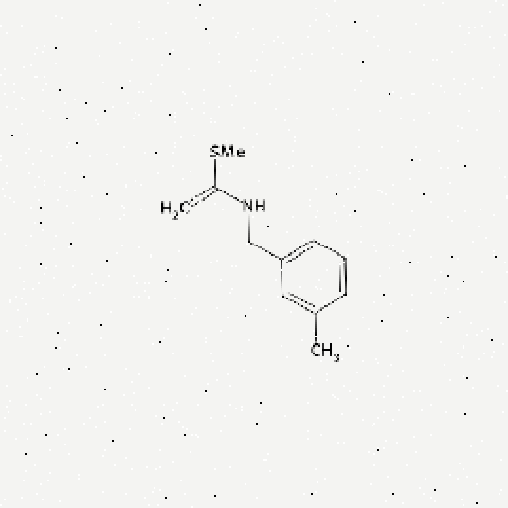 C=C(NCc1cccc(C)c1)SC